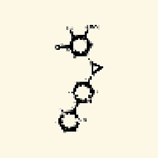 COc1cc([C@@H]2C[C@H]2c2cnc(-c3ncccn3)nc2)cc(Cl)c1F